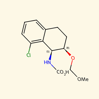 COCO[C@@H]1CCc2cccc(Cl)c2[C@@H]1NC(=O)O